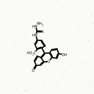 NNC(=S)Nc1ccc(-c2c3ccc(=O)cc-3oc3cc(O)ccc23)c(C(=O)O)c1